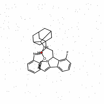 OC(CC1c2c(F)cccc2-c2cncn21)C12CC3CC(C1)C(Nc1nc4ccccc4o1)C(C3)C2